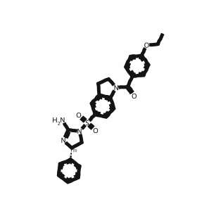 CCOc1ccc(C(=O)N2CCc3cc(S(=O)(=O)N4C[C@H](c5ccccc5)N=C4N)ccc32)cc1